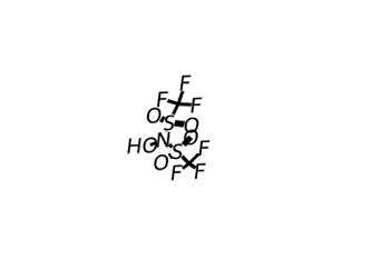 O=S(=O)(N(O)S(=O)(=O)C(F)(F)F)C(F)(F)F